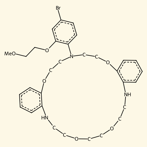 COCCOc1cc(Br)ccc1N1CCOc2ccccc2NCCOCCOCCNc2ccccc2OCC1